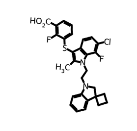 Cc1c(Sc2cccc(C(=O)O)c2F)c2ccc(Cl)c(F)c2n1CCN1CC2(CCC2)c2ccccc21